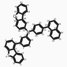 c1cc(-c2cccc3sc4ccccc4c23)cc(N(c2ccc(-c3cccc4ccccc34)cc2)c2ccc3oc4ccccc4c3c2)c1